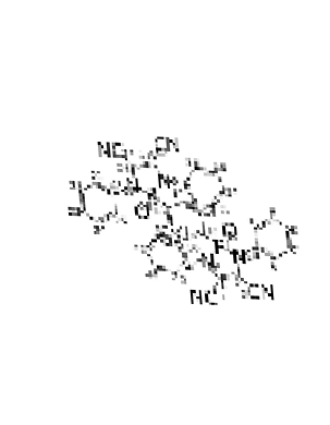 N#CC1=C(C#N)N(c2ccccc2)P(=O)(c2ccc(P3(=O)N(c4ccccc4)C(C#N)=C(C#N)N3c3ccccc3)cc2)N1c1ccccc1